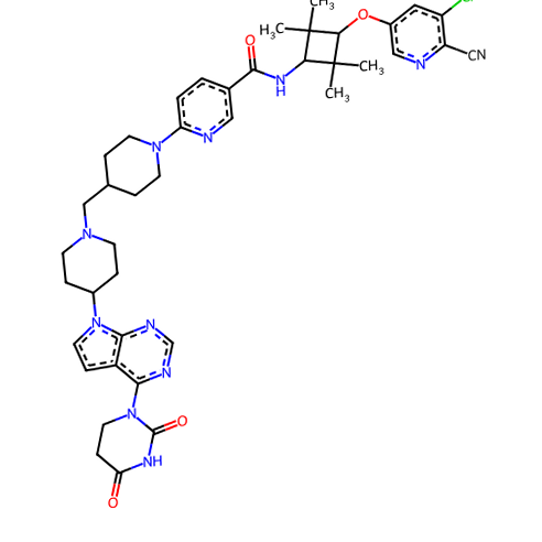 CC1(C)C(NC(=O)c2ccc(N3CCC(CN4CCC(n5ccc6c(N7CCC(=O)NC7=O)ncnc65)CC4)CC3)nc2)C(C)(C)C1Oc1cnc(C#N)c(Cl)c1